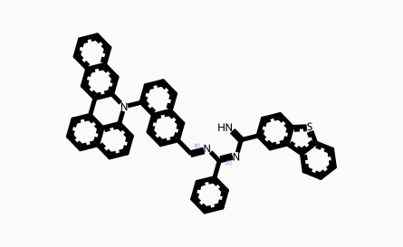 N=C(/N=C(\N=C\c1ccc2c(N3c4cc5ccccc5cc4-c4cccc5cccc3c45)cccc2c1)c1ccccc1)c1ccc2sc3ccccc3c2c1